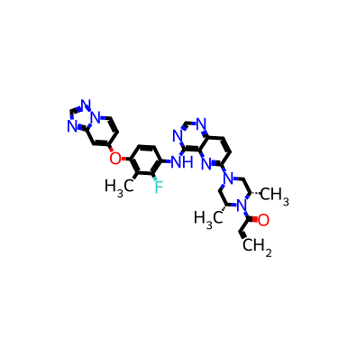 C=CC(=O)N1[C@H](C)CN(c2ccc3ncnc(Nc4ccc(Oc5ccn6ncnc6c5)c(C)c4F)c3n2)C[C@@H]1C